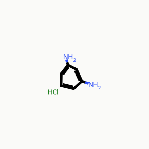 Cl.Nc1[c]ccc(N)c1